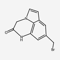 O=C1Cn2ccc3cc(CBr)cc(c32)N1